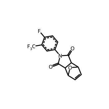 O=C1C2C3C=CC(O3)C2C(=O)N1c1ccc(F)c(C(F)(F)F)c1